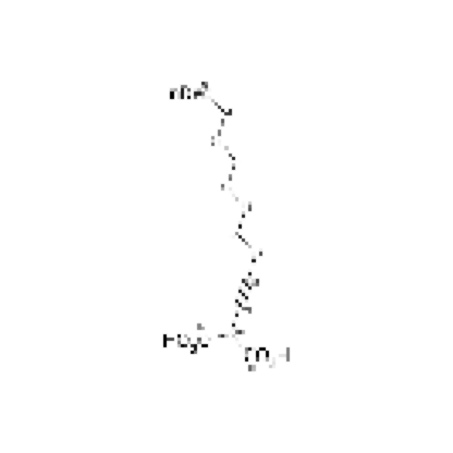 CCCCCCCCCCCCCCCCCC#CC(C(=O)O)C(=O)O